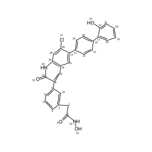 O=C(Cc1cccc(-c2cc3cc(-c4ccc(-c5ccccc5O)cc4)c(Cl)cc3[nH]c2=O)c1)NO